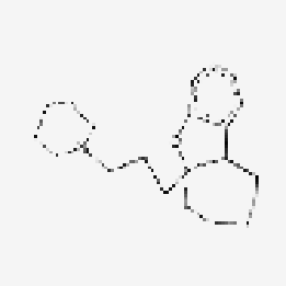 c1ccc2c(c1)OC1(CCCN3CCCCC3)CCCCC21